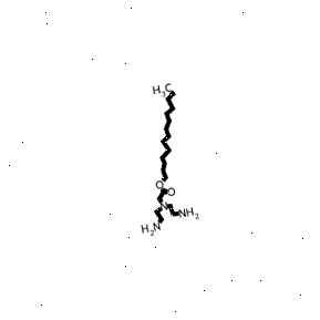 CCCCCCCCCCCCCCOC(=O)CN(CCN)CCN